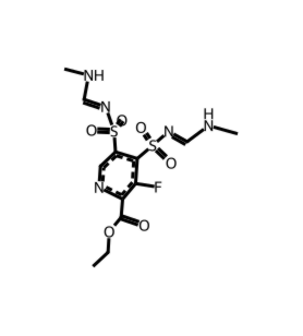 CCOC(=O)c1ncc(S(=O)(=O)N=CNC)c(S(=O)(=O)/N=C/NC)c1F